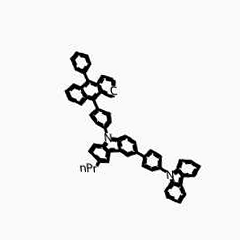 CCCc1ccc2c(c1)c1cc(-c3ccc(-n4c5ccccc5c5ccccc54)cc3)ccc1n2-c1ccc(-c2c3ccccc3c(-c3ccccc3)c3ccccc23)cc1